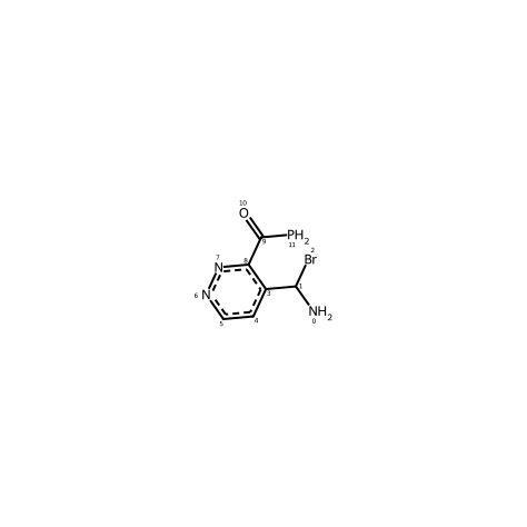 NC(Br)c1ccnnc1C(=O)P